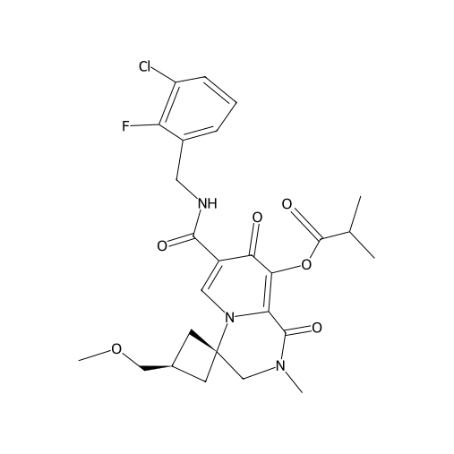 COC[C@H]1C[C@@]2(CN(C)C(=O)c3c(OC(=O)C(C)C)c(=O)c(C(=O)NCc4cccc(Cl)c4F)cn32)C1